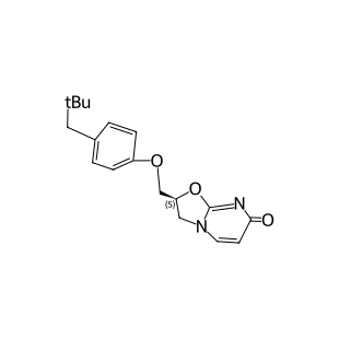 CC(C)(C)Cc1ccc(OC[C@@H]2Cn3ccc(=O)nc3O2)cc1